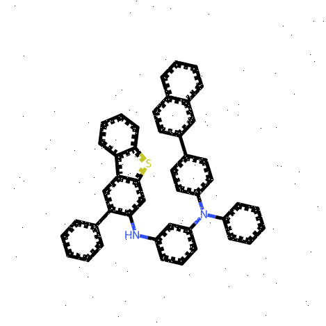 c1ccc(-c2cc3c(cc2Nc2cccc(N(c4ccccc4)c4ccc(-c5ccc6ccccc6c5)cc4)c2)sc2ccccc23)cc1